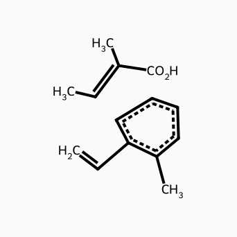 C=Cc1ccccc1C.CC=C(C)C(=O)O